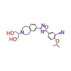 CC(C)Oc1ccc(-c2nc(-c3ccc4c(c3)CCN(C(CO)CO)CC4)no2)cc1C#N